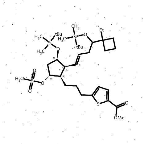 CCC1(C(CC=C[C@H]2[C@@H](CCCc3ccc(C(=O)OC)s3)[C@H](OS(C)(=O)=O)C[C@H]2O[Si](C)(C)C(C)(C)C)O[Si](C)(C)C(C)(C)C)CCC1